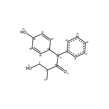 CC(CO)C(=O)N(c1cccnc1)C1C=CC(O)C=C1